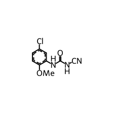 COc1ccc(Cl)cc1NC(=O)NC#N